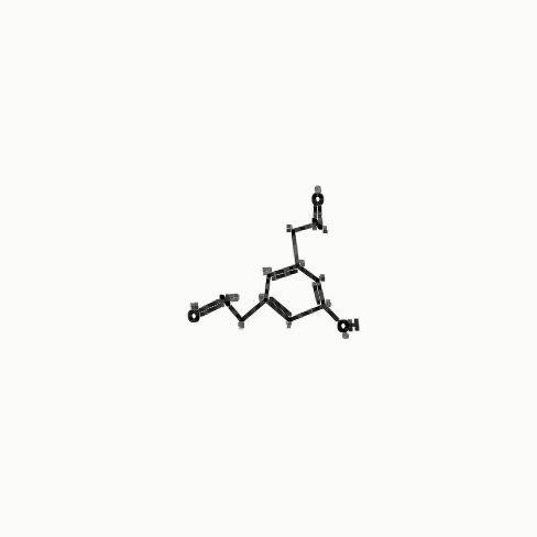 O=NCc1cc(O)cc(CN=O)c1